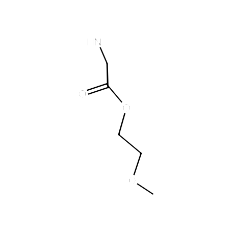 COCCOC(=O)C[NH]